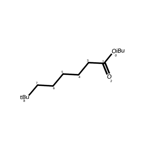 CC(C)COC(=O)CCCCCC(C)(C)C